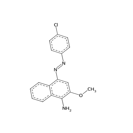 COc1cc(N=Nc2ccc(Cl)cc2)c2ccccc2c1N